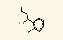 CCC[C](O)c1ccccc1I